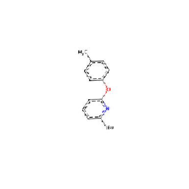 Cc1ccc(Oc2cccc(C(C)(C)C)n2)cc1